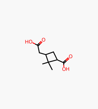 CC1(C)C(CC(=O)O)CC1C(=O)O